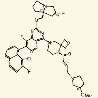 CO[C@@H]1CCN(C/C=C/C(=O)N2CCN(c3nc(OC[C@@]45CCCN4C[C@H](F)C5)nc4c(F)c(-c5cccc6ccc(F)c(Cl)c56)ncc34)CC23COC3)C1